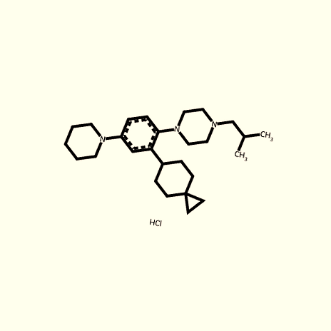 CC(C)CN1CCN(c2ccc(N3CCCCC3)cc2C2CCC3(CC2)CC3)CC1.Cl